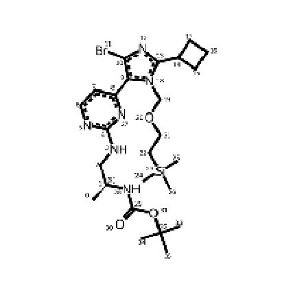 C[C@@H](CNc1nccc(-c2c(Br)nc(C3CCC3)n2COCC[Si](C)(C)C)n1)NC(=O)OC(C)(C)C